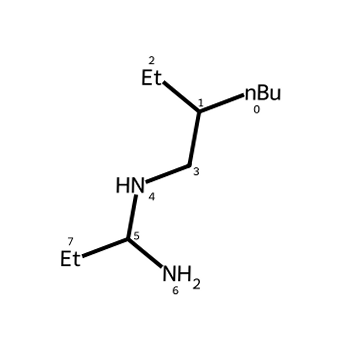 CCCCC(CC)CNC(N)CC